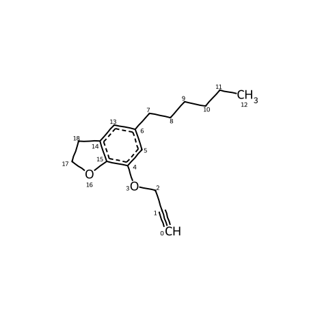 C#CCOc1cc(CCCCCC)cc2c1OCC2